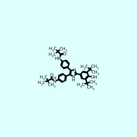 CC(C)(C)C(=O)Nc1ccc(-c2nc(-c3cc(C(C)(C)C)c(O)c(C(C)(C)C)c3)[nH]c2-c2ccc(NC(=O)C(C)(C)C)cc2)cc1